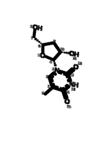 Cc1cn([C@@H]2O[C@H](CO)C[C@@H]2O)c(=O)[nH]c1=O